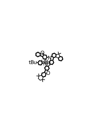 CC(C)(C)c1ccc(Nc2cc3c(cc2-c2ccc4c5c6c(ccc5n5c4c2Bc2cc4c(cc2-5)oc2ccccc24)C(C)(C)c2ccccc2-6)oc2cc4c(cc23)C(C)(C)CCC4(C)C)cc1